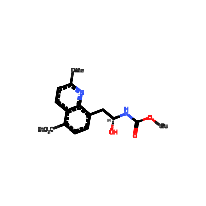 CCOC(=O)c1ccc(C[C@@H](O)NC(=O)OC(C)(C)C)c2nc(OC)ccc12